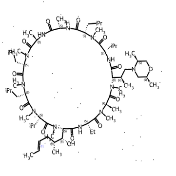 C/C=C/C[C@@H](C)[C@@H](O)[C@H]1C(=O)N[C@@H](CC)C(=O)N(C)[C@H](C)C(=O)N(C)[C@@H]([C@H](C)CN2C[C@H](C)OC[C@@H]2C)C(=O)N[C@@H](C(C)C)C(=O)N(C)[C@@H](CC(C)C)C(=O)N[C@@H](C)C(=O)N[C@H](C)C(=O)N(C)[C@@H](CC(C)C)C(=O)N(C)[C@@H](CC(C)C)C(=O)N(C)[C@@H](C(C)C)C(=O)N1C